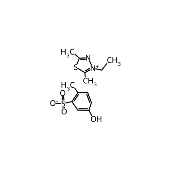 CC[n+]1nc(C)sc1C.Cc1ccc(O)cc1S(=O)(=O)[O-]